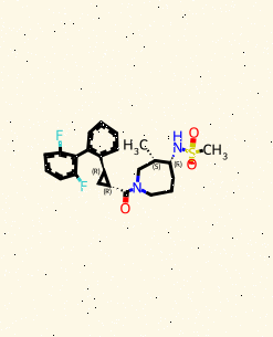 C[C@H]1CN(C(=O)[C@@H]2C[C@H]2c2ccccc2-c2c(F)cccc2F)CCC[C@H]1NS(C)(=O)=O